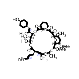 CCC/C=C/C[C@@H]1/C=C(\C)C[C@H](C)C[C@H](OC)[C@H]2O[C@@](O)(C(=O)C(=O)N3CCCC[C@H]3C(=O)O[C@H](/C(C)=C/[C@H]3CC[C@H](O)CC3)[C@H](C)[C@@H](O)CC1=O)[C@H](C)C[C@@H]2OC